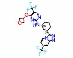 FC(F)(F)c1ccn2c([C@H]3CCC[C@@H](Nc4ncc(C(F)(F)F)c(OC5COC5)n4)C3)nnc2c1